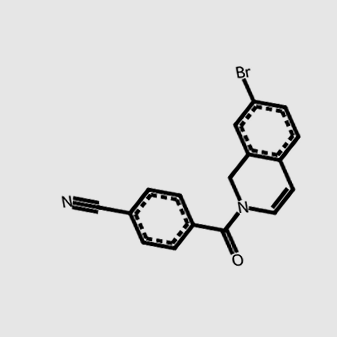 N#Cc1ccc(C(=O)N2C=Cc3ccc(Br)cc3C2)cc1